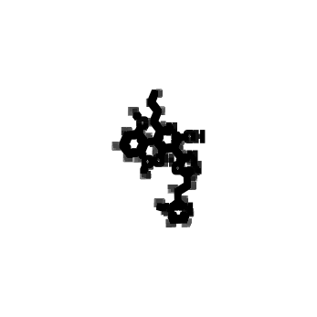 CCCCc1nc(O)c(-c2nnc(CCc3nccn3C)o2)c(O)c1-c1c(OC)cccc1OC